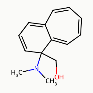 CN(C)C1(CO)C=CC=C2C=CC=CC=C21